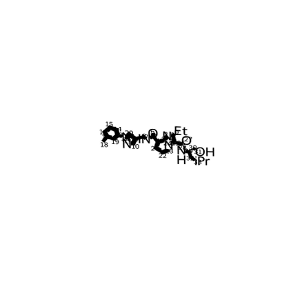 CCc1nc2c(C(=O)NCc3cnn(-c4cccc(C)c4)c3)cccn2c1C(=O)N[C@H](CO)CC(C)C